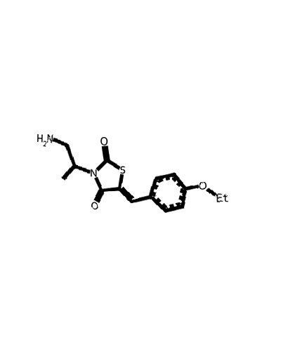 CCOc1ccc(/C=C2\SC(=O)N(C(C)CN)C2=O)cc1